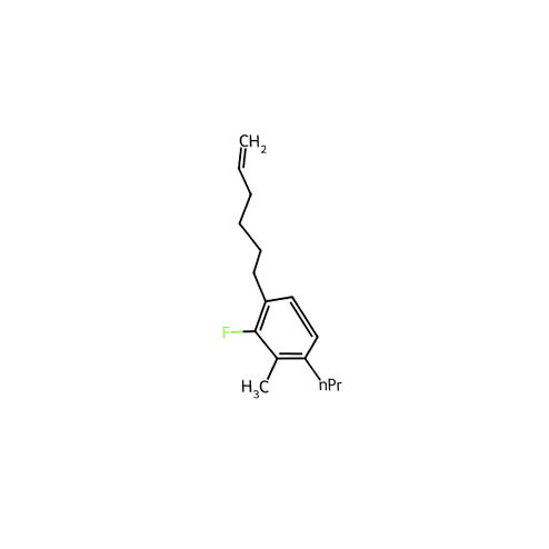 C=CCCCCc1ccc(CCC)c(C)c1F